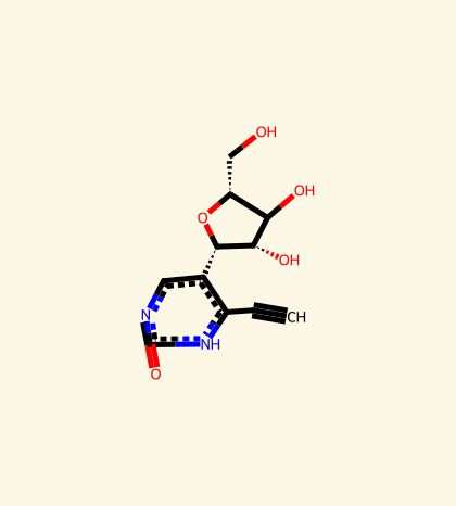 C#Cc1[nH]c(=O)ncc1[C@@H]1O[C@H](CO)C(O)[C@@H]1O